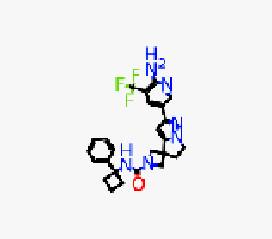 Nc1ncc(-c2cc3n(n2)CCC32CN(C(=O)NC3(c4ccccc4)CCC3)C2)cc1C(F)(F)F